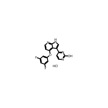 Cl.Oc1nccc(-c2c[nH]c3nccc(Oc4cc(F)cc(F)c4)c23)n1